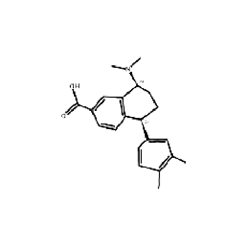 Cc1ccc([C@@H]2CC[C@H](N(C)C)c3cc(C(=O)O)ccc32)cc1C